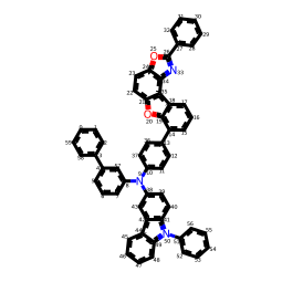 c1ccc(-c2cccc(N(c3ccc(-c4cccc5c4oc4ccc6oc(-c7ccccc7)nc6c45)cc3)c3ccc4c(c3)c3ccccc3n4-c3ccccc3)c2)cc1